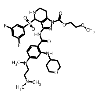 COCCOC(=O)n1nc(NC(=O)c2ccc(N(C)CCN(C)C)cc2NC2CCOCC2)c2c1CCNC2S(=O)(=O)c1cc(F)cc(F)c1